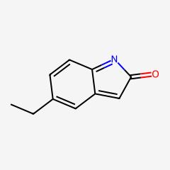 CCc1ccc2c(c1)=CC(=O)N=2